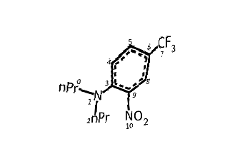 CCCN(CCC)c1ccc(C(F)(F)F)cc1[N+](=O)[O-]